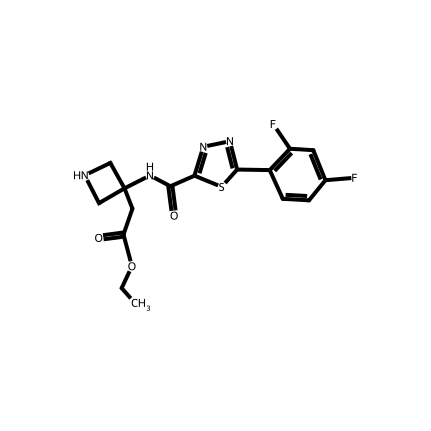 CCOC(=O)CC1(NC(=O)c2nnc(-c3ccc(F)cc3F)s2)CNC1